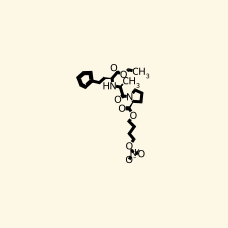 CCOC(=O)[C@H](CCc1ccccc1)N[C@@H](C)C(=O)N1CCC[C@H]1C(=O)OCCCCO[N+](=O)[O-]